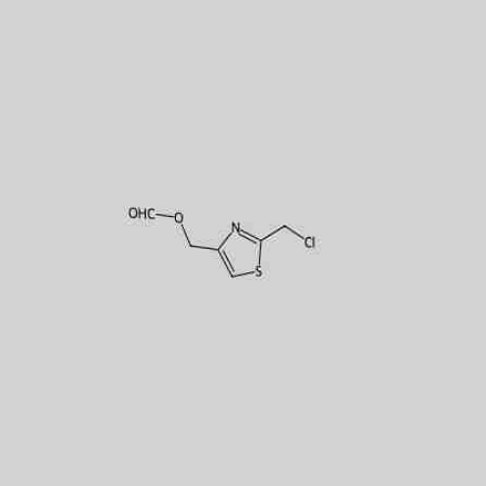 O=COCc1csc(CCl)n1